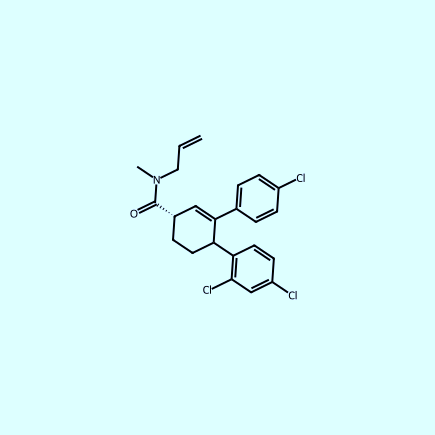 C=CCN(C)C(=O)[C@@H]1C=C(c2ccc(Cl)cc2)C(c2ccc(Cl)cc2Cl)CC1